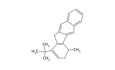 CC1CC=C(C(C)(C)C)C2=C1c1cc3ccccc3cc1C2